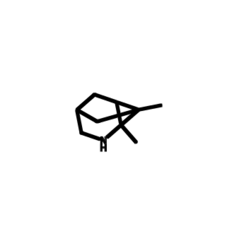 CC12CC3CNC1(C)C2C3